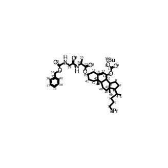 CC(C)CCCC(C)C1CCC2C3C(OC(=O)OC(C)(C)C)C=C4CC(OC(=O)C(C)NC(=O)CNC(=O)OCc5ccccc5)CCC4(C)C3CCC12C